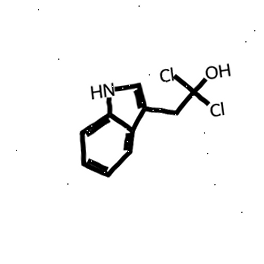 OC(Cl)(Cl)Cc1c[nH]c2ccccc12